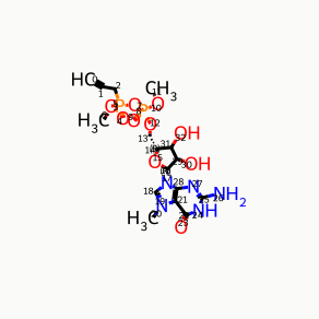 C#CCP(=O)(OC)OP(=O)(OC)OC[C@H]1O[C@@H](n2c[n+](C)c3c(=O)[nH]c(N)nc32)C(O)C1O